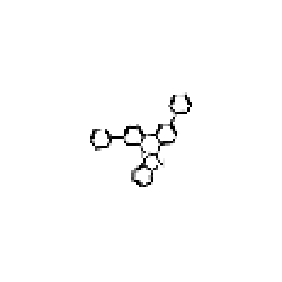 c1ccc(-c2ccc3c(c2)c2ccc(-c4ccccc4)cc2n2c4ccccc4nc32)cc1